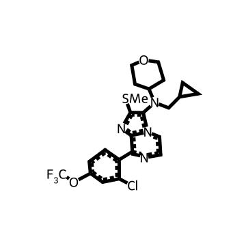 CSc1nc2c(-c3ccc(OC(F)(F)F)cc3Cl)nccn2c1N(CC1CC1)C1CCOCC1